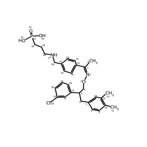 CC(=NOCC(Cc1ccc(C)c(C)c1)c1cccc(Cl)c1)c1ccc(CNCCCP(=O)(O)O)cc1